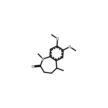 COc1cc2c(cc1OC)N(C)C(=O)CCC2C